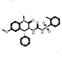 COc1ccc2c(c1)[C@@H](c1ccccc1)[C@H](NC(=O)NS(=O)(=O)c1ccccc1C)C(=O)N2C